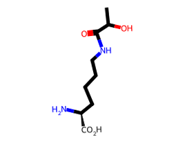 CC(O)C(=O)NCCCC[C@H](N)C(=O)O